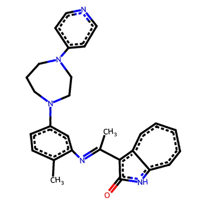 C/C(=N\c1cc(N2CCCN(c3ccncc3)CC2)ccc1C)c1c2cccccc-2[nH]c1=O